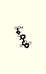 Cc1c(OC2CC(C(=O)O)C2)cccc1-c1cc(=O)c2cccc(Cl)c2o1